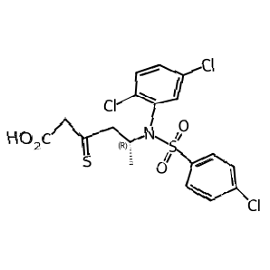 C[C@H](CC(=S)CC(=O)O)N(c1cc(Cl)ccc1Cl)S(=O)(=O)c1ccc(Cl)cc1